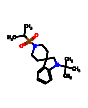 CC(C)S(=O)(=O)N1CCC2(CC1)CN(C(C)(C)C)c1ccccc12